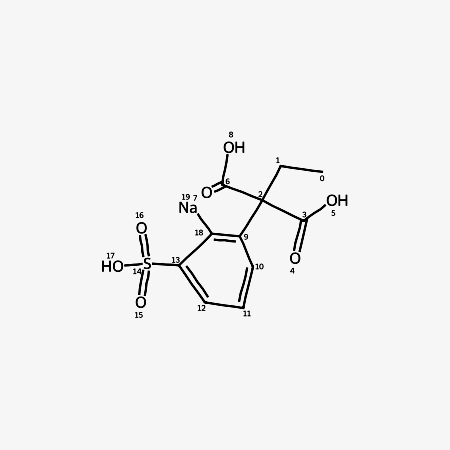 CCC(C(=O)O)(C(=O)O)c1cccc(S(=O)(=O)O)[c]1[Na]